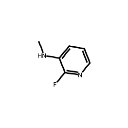 CNc1cccnc1F